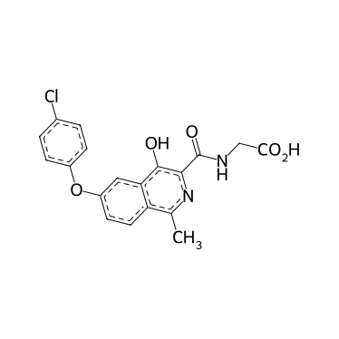 Cc1nc(C(=O)NCC(=O)O)c(O)c2cc(Oc3ccc(Cl)cc3)ccc12